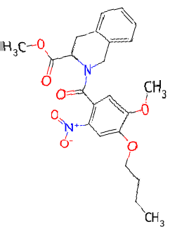 CCCCOc1cc([N+](=O)[O-])c(C(=O)N2Cc3ccccc3CC2C(=O)OC)cc1OC